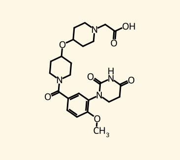 COc1ccc(C(=O)N2CCC(OC3CCN(CC(=O)O)CC3)CC2)cc1N1CCC(=O)NC1=O